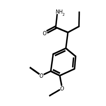 CCC(C(N)=O)c1ccc(OC)c(OC)c1